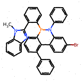 Cn1c(-c2ccccc2P2c3cccc(-c4ccccc4)c3-c3ccc(Br)cc3N2c2ccccc2)nc2ccccc21